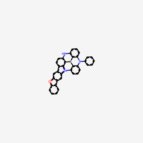 c1ccc(N2c3cccc4c3B3c5c2cccc5-n2c5cc6c(cc5c5ccc(c3c52)N4)oc2ccccc26)cc1